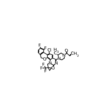 C=CC(=O)N1CCN(c2nc(=O)n(CC3(C(F)(F)F)CC3)c3c4c(c(Cl)cc23)-c2c(ccc(F)c2F)CO4)[C@@H](C)C1